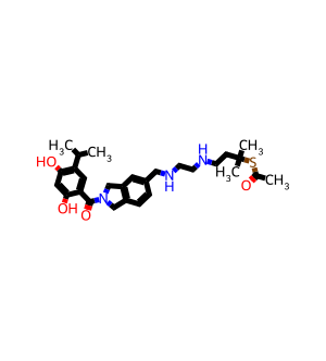 CC(=O)SC(C)(C)CCNCCNCc1ccc2c(c1)CN(C(=O)c1cc(C(C)C)c(O)cc1O)C2